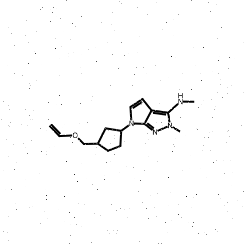 C=COCC1CCC(n2ccc3c(NC)n(C)nc32)C1